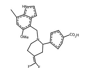 COc1cc(C)c2[nH]ccc2c1CN1CCC(=C(F)F)CC1c1ccc(C(=O)O)cc1